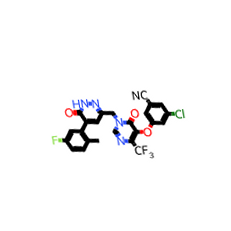 Cc1ccc(F)cc1-c1cc(Cn2cnc(C(F)(F)F)c(Oc3cc(Cl)cc(C#N)c3)c2=O)n[nH]c1=O